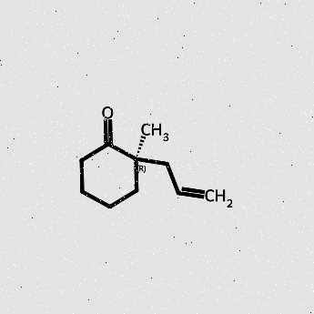 C=CC[C@@]1(C)CCCCC1=O